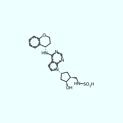 O=S(=O)(O)NC[C@@H]1C[C@@H](n2ccc3c(N[C@H]4CCOc5ccccc54)ncnc32)C[C@@H]1O